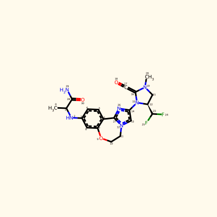 CC(Nc1ccc2c(c1)OCCn1cc(N3C(=C=O)N(C)C[C@H]3C(F)F)nc1-2)C(N)=O